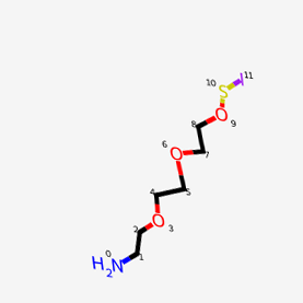 NCCOCCOCCOSI